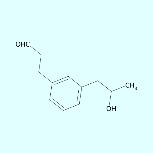 CC(O)Cc1cccc(CCC=O)c1